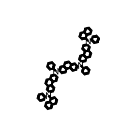 c1ccc(N(c2ccc3c(ccc4cc(N(c5ccccc5)c5ccc6c(ccc7cc(N(c8ccccc8)c8cccc9ccccc89)ccc76)c5)ccc43)c2)c2ccc3c(ccc4cc(N(c5ccccc5)c5cccc6ccccc56)ccc43)c2)cc1